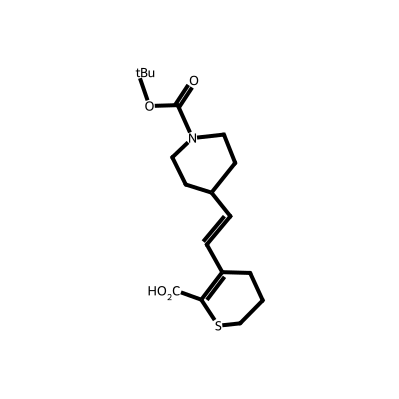 CC(C)(C)OC(=O)N1CCC(C=CC2=C(C(=O)O)SCCC2)CC1